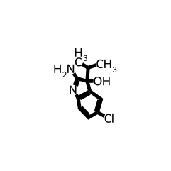 CC(C)C1(O)C(N)=Nc2ccc(Cl)cc21